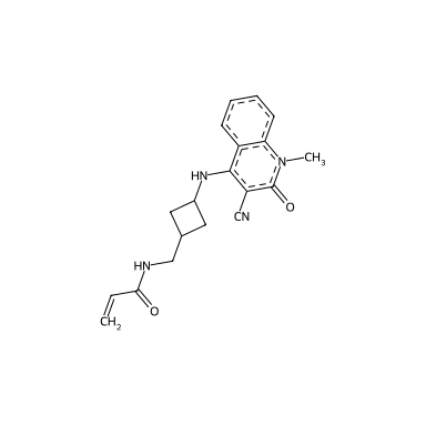 C=CC(=O)NCC1CC(Nc2c(C#N)c(=O)n(C)c3ccccc23)C1